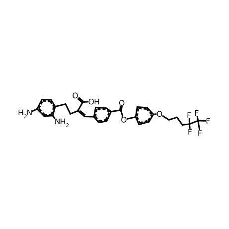 Nc1ccc(CCC(=Cc2ccc(C(=O)Oc3ccc(OCCCC(F)(F)C(F)(F)F)cc3)cc2)C(=O)O)c(N)c1